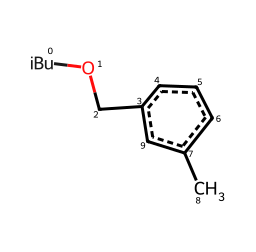 CCC(C)OCc1cccc(C)c1